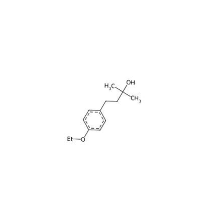 CCOc1ccc(CCC(C)(C)O)cc1